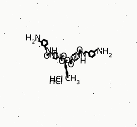 CC#CC#CC(OC(=O)N1CCN(C(=O)NCc2cccc(CN)c2)CC1)OC(=O)N1CCN(C(=O)NCc2cccc(CN)c2)CC1.Cl.Cl